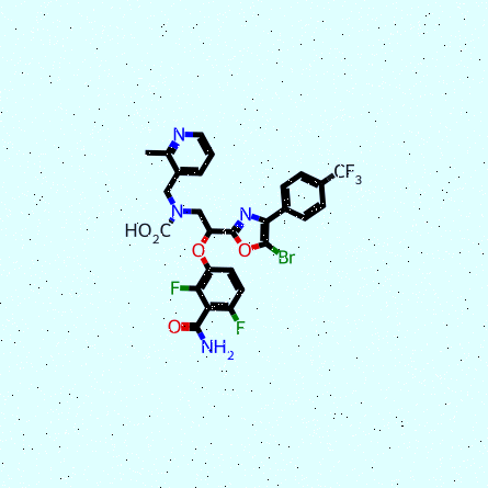 Cc1ncccc1CN(CC(Oc1ccc(F)c(C(N)=O)c1F)c1nc(-c2ccc(C(F)(F)F)cc2)c(Br)o1)C(=O)O